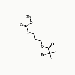 CCC(C)(C)C(=O)OCCCOC(=O)OC(C)(C)C